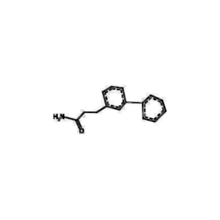 NC(=O)CCc1cccc(-c2ccccc2)c1